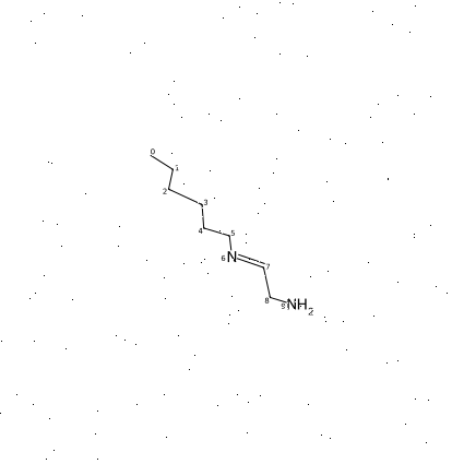 CCCCCCN=CCN